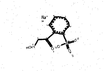 CCCCCCCCCC(=O)c1ccccc1S(=O)(=O)[O-].[Na+]